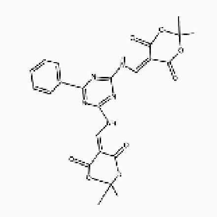 CC1(C)OC(=O)C(=CNc2nc(NC=C3C(=O)OC(C)(C)OC3=O)nc(-c3ccccc3)n2)C(=O)O1